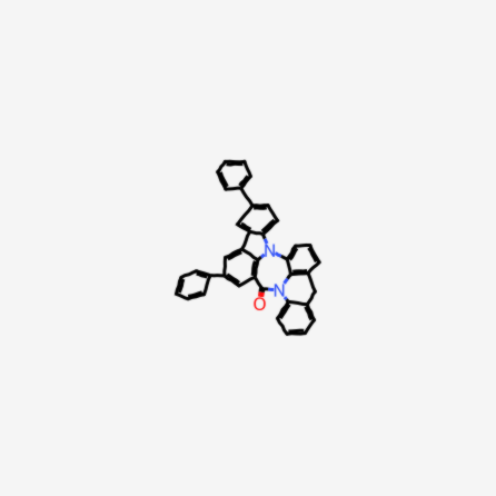 O=C1c2cc(-c3ccccc3)cc3c4cc(-c5ccccc5)ccc4n(c23)-c2cccc3c2N1c1ccccc1C3